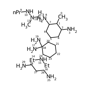 CC1C(N)CCCC1N.CCCNN(C)C.CCNCC.NC1(N)CCCCC1.NCCCN